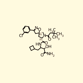 CC(C)(C)CC(=O)N1C[C@@]2(CC(c3cccc(Cl)c3)=NO2)C[C@H]1C(=O)NC(CC1CCC1)C(O)C(N)=O